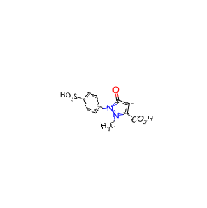 Cn1c(C(=O)O)[c]c(=O)n1-c1ccc(S(=O)(=O)O)cc1